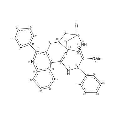 COC(=O)N(NC(=O)c1c(CN2C[C@@H]3CC2CN3)c(-c2ccccc2)nc2ccccc12)c1ccccc1